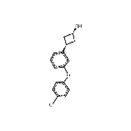 O[C@H]1C[C@@H](c2cccc(Oc3ccc(Cl)cc3)c2)C1